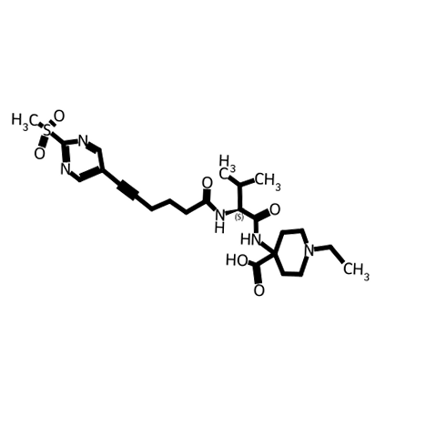 CCN1CCC(NC(=O)[C@@H](NC(=O)CCCC#Cc2cnc(S(C)(=O)=O)nc2)C(C)C)(C(=O)O)CC1